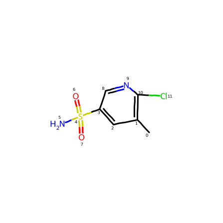 Cc1cc(S(N)(=O)=O)cnc1Cl